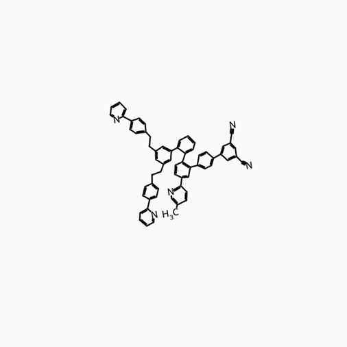 Cc1ccc(-c2ccc(-c3ccccc3-c3cc(CCc4ccc(-c5ccccn5)cc4)cc(CCc4ccc(-c5ccccn5)cc4)c3)c(-c3ccc(-c4cc(C#N)cc(C#N)c4)cc3)c2)nc1